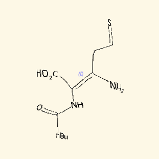 CCCCC(=O)N/C(C(=O)O)=C(\N)CC=S